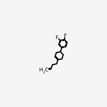 C=CCCC1=CCC(c2ccc(F)c(F)c2)CC1